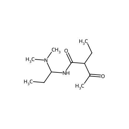 CCC(C(C)=O)C(=O)NC(CC)N(C)C